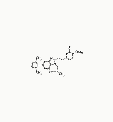 COc1ccc(CCc2nc3cc(-c4c(C)noc4C)cnc3n2CC(C)O)cc1F